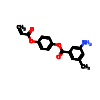 C=CC(=O)Oc1ccc(OC(=O)c2cc(C)cc(N)c2)cc1